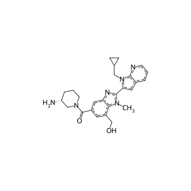 Cn1c(-c2cc3cccnc3n2CC2CC2)nc2cc(C(=O)N3CCC[C@@H](N)C3)cc(CO)c21